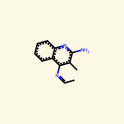 C/C=N\c1c(C)c(N)nc2ccccc12